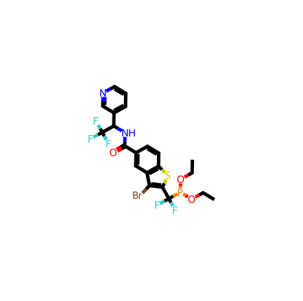 CCOP(OCC)C(F)(F)c1sc2ccc(C(=O)NC(c3cccnc3)C(F)(F)F)cc2c1Br